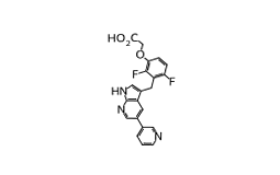 O=C(O)COc1ccc(F)c(Cc2c[nH]c3ncc(-c4cccnc4)cc23)c1F